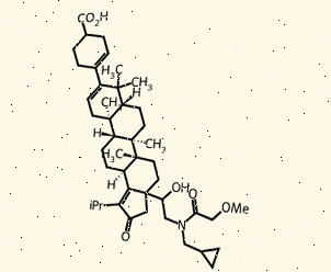 COCC(=O)N(CC1CC1)CC(O)C12CC[C@]3(C)[C@H](CC[C@@H]4[C@@]5(C)CC=C(C6=CCC(C(=O)O)CC6)C(C)(C)[C@@H]5CC[C@]43C)C1=C(C(C)C)C(=O)C2